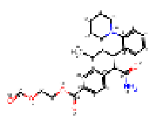 CCCC(c1ccccc1N1CCCCC1)C(C(N)=O)c1ccc(C(=O)OCCOC=O)cc1